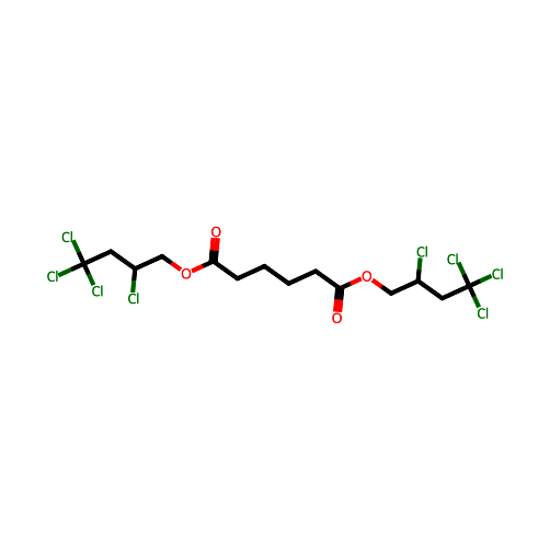 O=C(CCCCC(=O)OCC(Cl)CC(Cl)(Cl)Cl)OCC(Cl)CC(Cl)(Cl)Cl